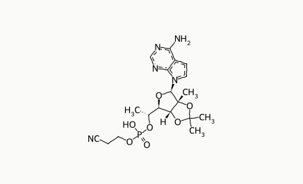 C[C@@H](OP(=O)(O)OCCC#N)[C@H]1O[C@@H](n2ccc3c(N)ncnc32)[C@]2(C)OC(C)(C)O[C@H]12